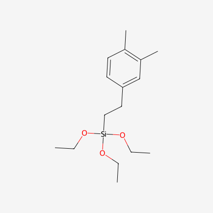 CCO[Si](CCc1ccc(C)c(C)c1)(OCC)OCC